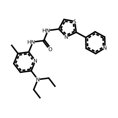 CCN(CC)c1ccc(C)c(NC(=O)Nc2csc(-c3ccncc3)n2)n1